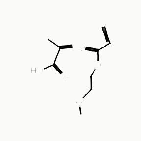 C=C(C)C(=O)O.C=CC(=O)OCCOC